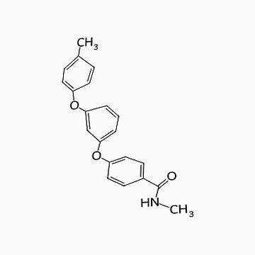 CNC(=O)c1ccc(Oc2cccc(Oc3ccc(C)cc3)c2)cc1